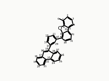 Cc1cccc2c1oc1c(-c3cccc(-c4cc5ccccc5c5ccccc45)c3)cccc12